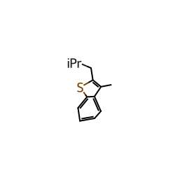 Cc1c(CC(C)C)sc2ccccc12